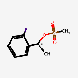 C[C@H](OS(C)(=O)=O)c1ccccc1I